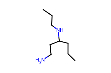 CCCNC(CCC)CCN